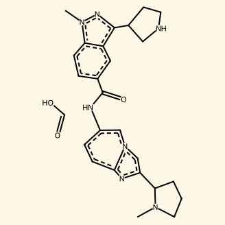 CN1CCCC1c1cn2cc(NC(=O)c3ccc4c(c3)c(C3CCNC3)nn4C)ccc2n1.O=CO